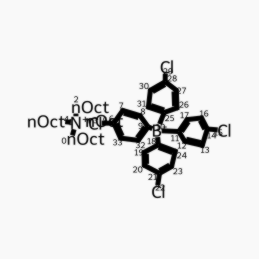 CCCCCCCC[N+](CCCCCCCC)(CCCCCCCC)CCCCCCCC.Clc1ccc([B-](c2ccc(Cl)cc2)(c2ccc(Cl)cc2)c2ccc(Cl)cc2)cc1